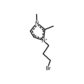 Cc1n(C)cc[n+]1CCCBr